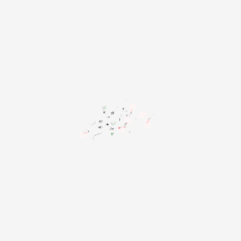 CCC(=O)OCC(=O)[C@]1(OC(=O)CC)[C@H](C)C[C@H]2[C@@H]3[C@H](Br)CC4=CC(=O)C=C[C@]4(C)[C@@]3(Br)[C@@H](F)C[C@@]21C